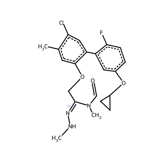 CN/N=C(/COc1cc(C)c(Cl)cc1-c1cc(OC2CC2)ccc1F)N(C)C=O